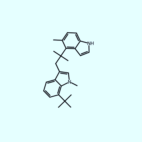 Cc1ccc2[nH]ccc2c1C(C)(C)Cc1cn(C)c2c(C(C)(C)C)cccc12